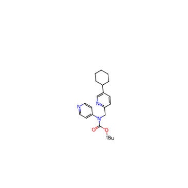 CC(C)(C)OC(=O)N(Cc1ccc(C2CCCCC2)cn1)c1ccncc1